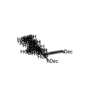 CCCCCCCCCCCCC/C=C/[C@@H](O)[C@H](CO[C@@H]1OC(CO)[C@@H](O[C@@H]2OC(CO)[C@H](O[C@@H]3OC(CO)[C@H](O[C@@H]4OC(CO)[C@H](O)[C@H](O[C@@H]5OC(CO)[C@H](O)[C@H](O)C5O[C@H]5OC(C)[C@@H](O)C(O)[C@@H]5O)C4NC(C)=O)[C@H](O[C@@H]4OC(CO)[C@H](O)[C@H](O[C@H]5OC(CO)[C@H](O)[C@H](O)C5NC(C)=O)C4NC(C)=O)C3O)[C@H](O)C2O)[C@H](O)C1O)NC(=O)CCCCCCCCCCCCCCCCCCCCCCCCC